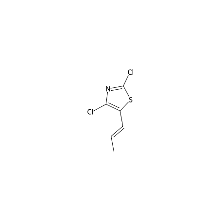 CC=Cc1sc(Cl)nc1Cl